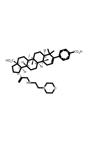 C=C(CNCCN1CCOCC1)[C@@H]1CC[C@]2(C(=O)O)CC[C@]3(C)[C@H](CC[C@@H]4[C@@]5(C)CC=C(c6ccc(C(=O)O)cc6)C(C)(C)[C@@H]5CC[C@]43C)[C@@H]12